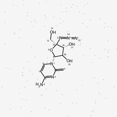 C=C1N=C(N)C=CN1[C@@H]1O[C@@](CO)(N=[N+]=[N-])[C@H](O)C1O